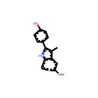 CC(=O)Oc1ccc2[nH]c(-c3ccc(O)cc3)c(C)c2c1